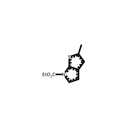 CCOC(=O)n1ccc2cc(C)sc21